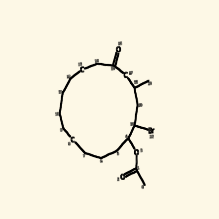 CC(=O)OC1CCCCCCCCCCC(=O)CC(C)CC1Br